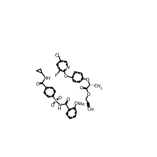 C#CCOC(=O)[C@@H](C)Oc1ccc(Oc2ncc(Cl)cc2F)cc1.COc1ccccc1C(=O)NS(=O)(=O)c1ccc(C(=O)NC2CC2)cc1